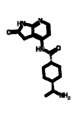 CC(N)[C@H]1CC[C@H](C(=O)Nc2ccnc3c2CC(=O)N3)CC1